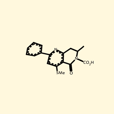 CSc1cc(-c2ccccc2)nc2c1C(=O)N(C(=O)O)C(C)C2